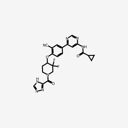 N#Cc1cc(-c2cc(NC(=O)C3CC3)ncn2)ccc1OC1CCN(C(=O)c2nnc[nH]2)CC1(F)F